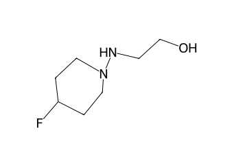 OCCNN1CCC(F)CC1